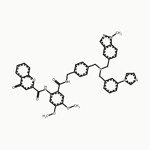 COc1cc(NC(=O)c2cc(=O)c3ccccc3o2)c(C(=O)NCc2ccc(CN(Cc3cccc(-n4ccnc4)c3)Cc3ccc4c(cnn4C)c3)cc2)cc1OC